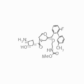 COC(=O)NCCO[C@@H](c1cccc(F)c1-c1cccc(C)c1)[C@H]1CN(C(=O)[C@H]2C[C@@H](N)[C@@H](O)C2)CCO1